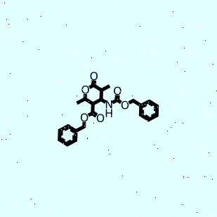 CC1OC(=O)C(C)C(NC(=O)OCc2ccccc2)C1C(=O)OCc1ccccc1